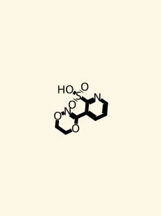 O=S(=O)(O)c1ncccc1C1=NOCCO1